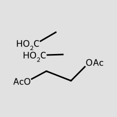 CC(=O)O.CC(=O)O.CC(=O)OCCOC(C)=O